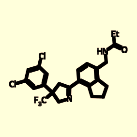 CCC(=O)NCc1ccc(C2=NCC(c3cc(Cl)cc(Cl)c3)(C(F)(F)F)C2)c2c1CCC2